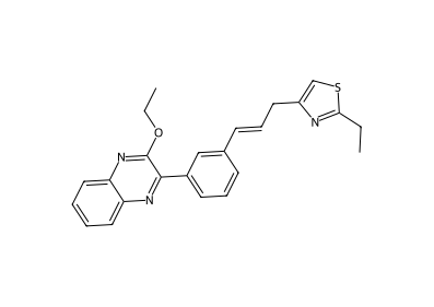 CCOc1nc2ccccc2nc1-c1cccc(/C=C/Cc2csc(CC)n2)c1